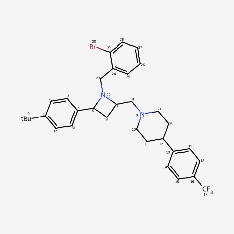 CC(C)(C)c1ccc(C2CC(CN3CCC(c4ccc(C(F)(F)F)cc4)CC3)N2Cc2ccccc2Br)cc1